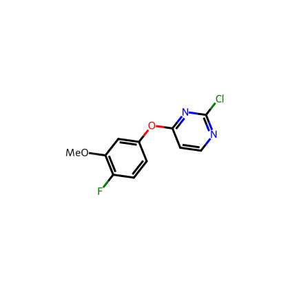 COc1cc(Oc2ccnc(Cl)n2)ccc1F